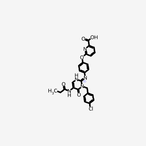 CCC(=O)Nc1c[nH]/c(=N\c2ccc(Oc3cccc(C(=O)O)n3)cc2)n(Cc2ccc(Cl)cc2)c1=O